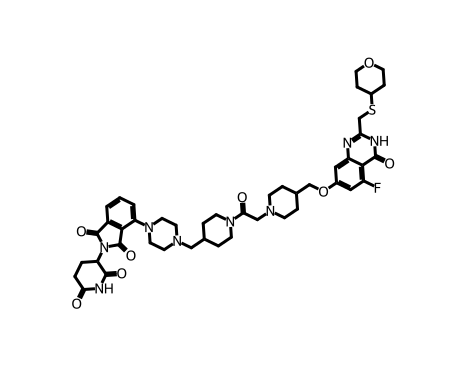 O=C1CCC(N2C(=O)c3cccc(N4CCN(CC5CCN(C(=O)CN6CCC(COc7cc(F)c8c(=O)[nH]c(CSC9CCOCC9)nc8c7)CC6)CC5)CC4)c3C2=O)C(=O)N1